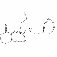 CCCc1c(OCc2ccccc2)ccc2c1C(=O)CCC2